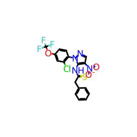 O=[N+]([O-])c1cnn(-c2ccc(OC(F)(F)F)cc2Cl)c1NC(=S)Cc1ccccc1